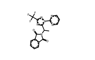 CC(c1nc(C(F)(F)F)nn1-c1ncccn1)N1C(=O)c2ccccc2C1=O